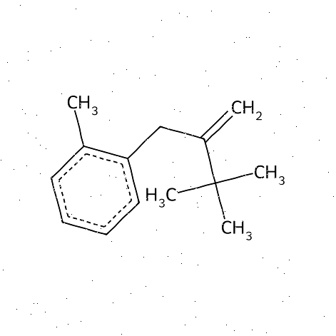 C=C(Cc1ccccc1C)C(C)(C)C